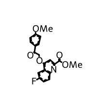 COC(=O)c1cc(OCC(=O)c2ccc(OC)cc2)c2cc(F)ccc2n1